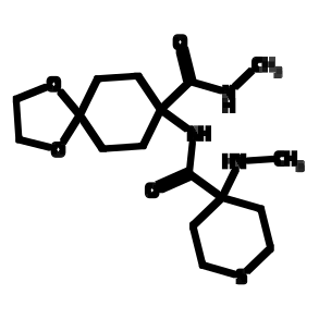 CNC(=O)C1(NC(=O)C2(NC)CCSCC2)CCC2(CC1)OCCO2